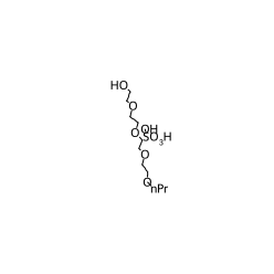 CCCOCCOCCOCCOCCO.O=S(=O)(O)O